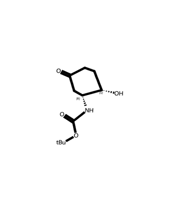 CC(C)(C)OC(=O)N[C@@H]1CC(=O)CC[C@@H]1O